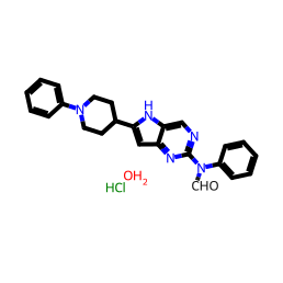 Cl.O.O=CN(c1ccccc1)c1ncc2[nH]c(C3CCN(c4ccccc4)CC3)cc2n1